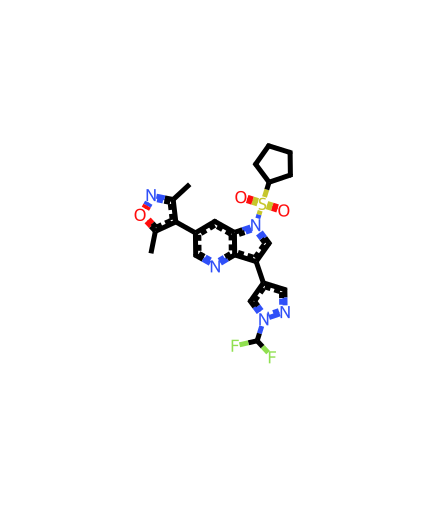 Cc1noc(C)c1-c1cnc2c(-c3cnn(C(F)F)c3)cn(S(=O)(=O)C3CCCC3)c2c1